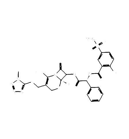 CNS(=O)(=O)c1ccc(O)c(C(=O)N[C@H](C(=O)NC2C(=O)N3C(C(=O)O)=C(CSc4nnnn4C)CS[C@@H]23)c2ccccc2)c1